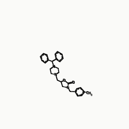 Cc1ccc(CN2CC(CN3CCN(C(c4ccccc4)c4ccccc4)CC3)OC2=O)cc1